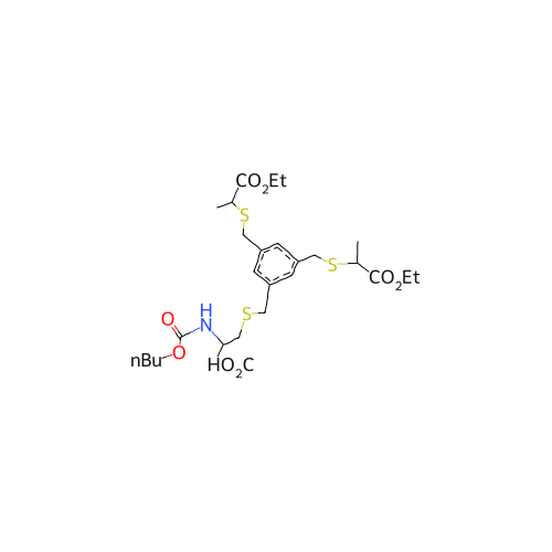 CCCCOC(=O)NC(CSCc1cc(CSC(C)C(=O)OCC)cc(CSC(C)C(=O)OCC)c1)C(=O)O